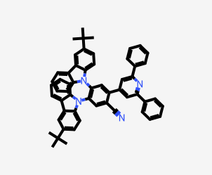 CC(C)(C)c1ccc2c(c1)c1ccccc1n2-c1cc(C#N)c(-c2cc(-c3ccccc3)nc(-c3ccccc3)c2)cc1-n1c2ccccc2c2cc(C(C)(C)C)ccc21